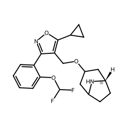 FC(F)Oc1ccccc1-c1noc(C2CC2)c1COC1CC2CC[C@@H](C1)N2